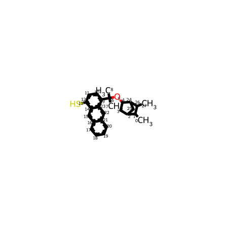 CC1C2CC(OC(C)(C)c3ccc(S)c4cc5ccccc5cc34)C(C2)C1C